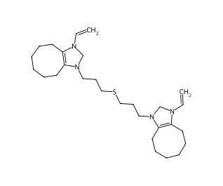 C=CN1CN(CCCSCCCN2CN(C=C)C3=C2CCCCCC3)C2=C1CCCCCC2